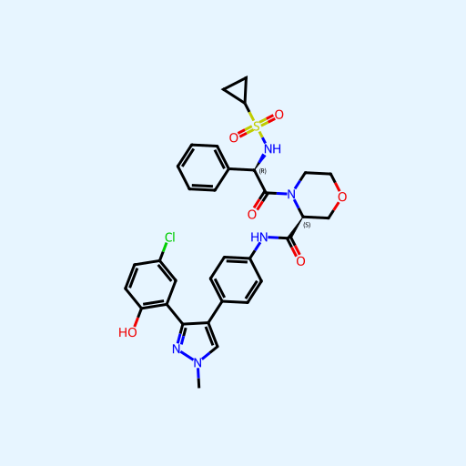 Cn1cc(-c2ccc(NC(=O)[C@@H]3COCCN3C(=O)[C@H](NS(=O)(=O)C3CC3)c3ccccc3)cc2)c(-c2cc(Cl)ccc2O)n1